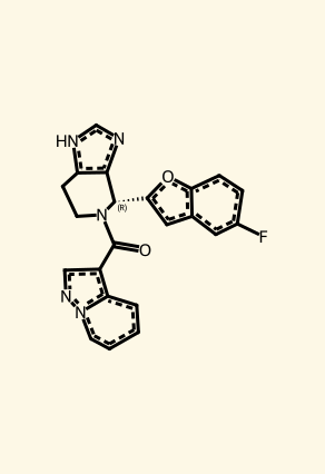 O=C(c1cnn2ccccc12)N1CCc2[nH]cnc2[C@@H]1c1cc2cc(F)ccc2o1